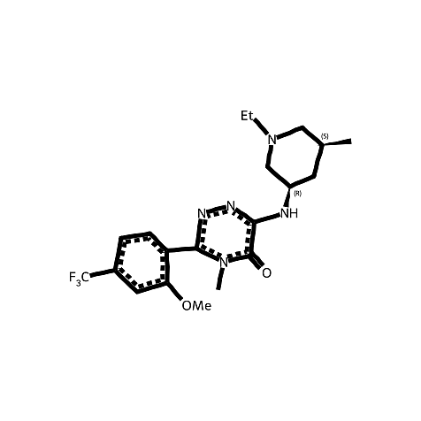 CCN1C[C@@H](C)C[C@@H](Nc2nnc(-c3ccc(C(F)(F)F)cc3OC)n(C)c2=O)C1